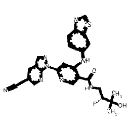 CC(C)(O)[C@H](F)CNC(=O)c1cnc(-n2ncc3cc(C#N)cnc32)cc1Nc1ccc2ncsc2c1